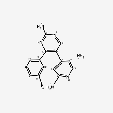 N.Nc1cc(-c2cnc(N)nc2-c2cccc(F)c2)ccn1